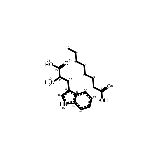 CCCCCCCC(=O)O.NC(Cc1c[nH]c2ccccc12)C(=O)O